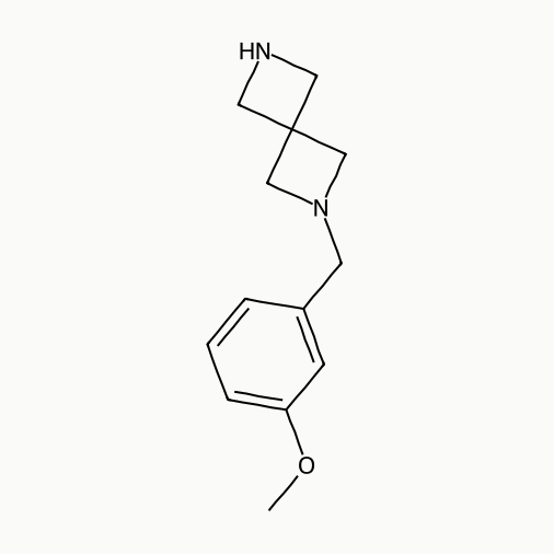 COc1cccc(CN2CC3(CNC3)C2)c1